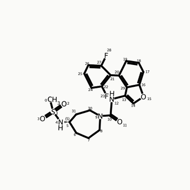 CS(=O)(=O)N[C@H]1CCCN(C(=O)Nc2coc3cccc(-c4c(F)cccc4F)c23)CC1